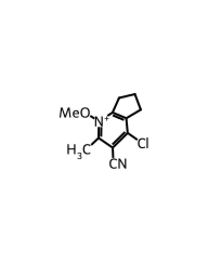 CO[n+]1c(C)c(C#N)c(Cl)c2c1CCC2